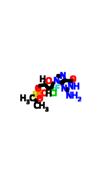 CC(C)O[P@@]1(=S)OC[C@H]2O[C@@H](n3cnc4c(=O)[nH]c(N)nc43)[C@@](F)(Cl)[C@@H]2O1